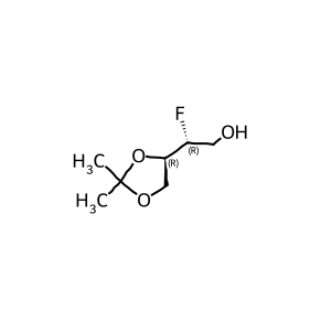 CC1(C)OC[C@H]([C@H](F)CO)O1